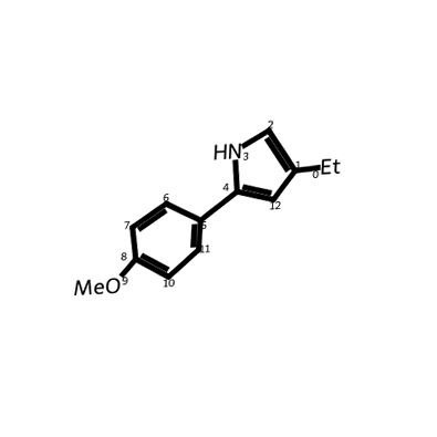 CCc1c[nH]c(-c2ccc(OC)cc2)c1